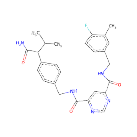 Cc1cc(CNC(=O)c2cc(C(=O)NCc3ccc(C(C(N)=O)C(C)C)cc3)ncn2)ccc1F